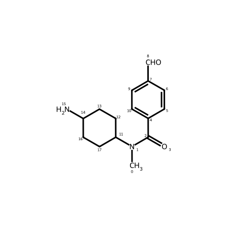 CN(C(=O)c1ccc(C=O)cc1)C1CCC(N)CC1